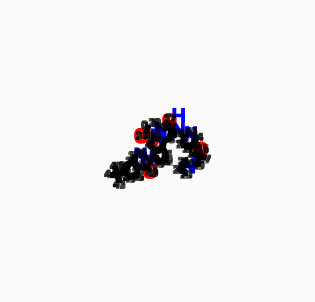 CC(=O)OCc1c(-c2cc(Nc3ccc(OC(C)(C)CN4CCC4)cn3)c(=O)n(C)n2)cccc1-n1ncc2cc(C(C)(C)C)ccc2c1=O